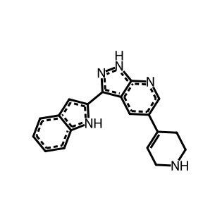 C1=C(c2cnc3[nH]nc(-c4cc5ccccc5[nH]4)c3c2)CCNC1